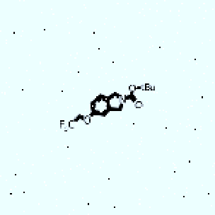 CC(C)(C)OC(=O)N1Cc2ccc(OCC(F)(F)F)cc2C1